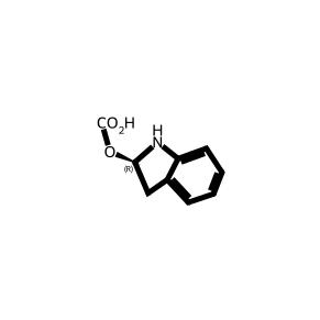 O=C(O)O[C@@H]1Cc2ccccc2N1